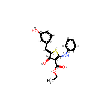 CCOC(=O)C1=C(Nc2ccccc2)S/C(=C\c2cccc(O)c2)C1=O